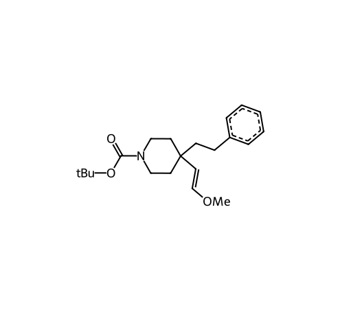 COC=CC1(CCc2ccccc2)CCN(C(=O)OC(C)(C)C)CC1